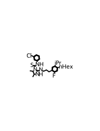 CCCCCCc1cc(F)c(CCCNC2=NC(C)C(C)N2C(=S)Nc2cccc(Cl)c2)cc1C(C)C